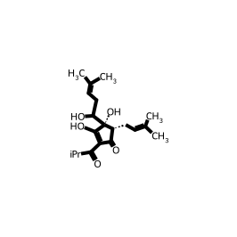 CC(C)=CCC(O)[C@]1(O)C(O)=C(C(=O)C(C)C)C(=O)[C@H]1CC=C(C)C